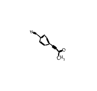 CC(=O)C#Cc1ccc(C#N)cc1